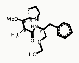 CO[C@@H]([C@@H]1CCCN1)[C@@H](C)C(=O)N[C@H](COCO)Cc1ccccc1